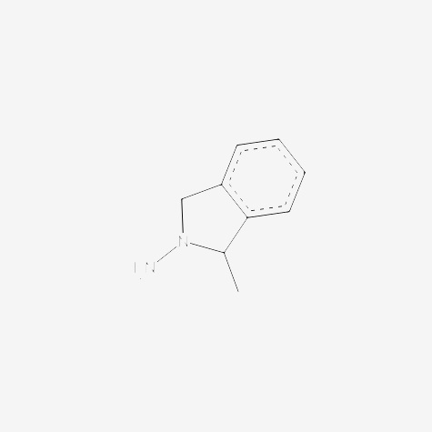 CC1c2ccccc2CN1N